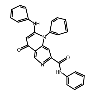 O=C(Nc1ccccc1)c1cc2c(cn1)c(=O)cc(Nc1ccccc1)n2-c1ccccc1